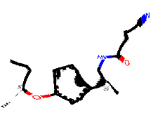 CC[C@@H](C)Oc1ccc([C@H](C)NC(=O)CC#N)cc1